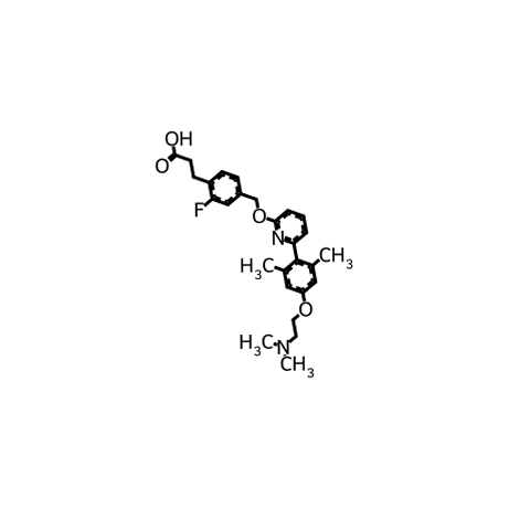 Cc1cc(OCCN(C)C)cc(C)c1-c1cccc(OCc2ccc(CCC(=O)O)c(F)c2)n1